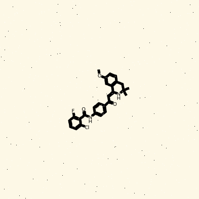 COc1ccc2c(c1)C(=CC(=O)c1ccc(NC(=O)c3c(F)cccc3Cl)cc1)NC(C)(C)C2